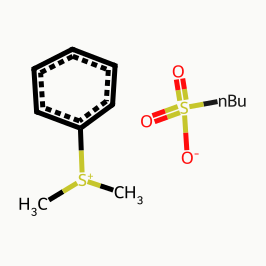 CCCCS(=O)(=O)[O-].C[S+](C)c1ccccc1